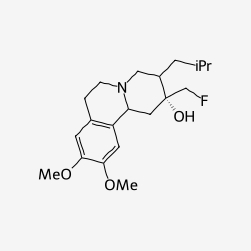 COc1cc2c(cc1OC)C1C[C@](O)(CF)C(CC(C)C)CN1CC2